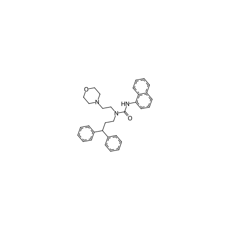 O=C(Nc1cccc2ccccc12)N(CCC(c1ccccc1)c1ccccc1)CCN1CCOCC1